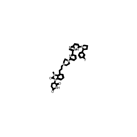 Cn1c(=O)n(C2CCC(=O)NC2=O)c2cccc(CCCN3CCN(c4cccc(-c5cnc6ccc(N7CCCC7c7cccc(F)c7)nn56)n4)CC3)c21